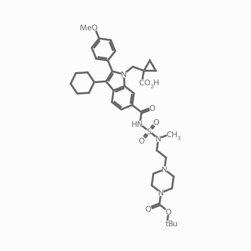 COc1ccc(-c2c(C3CCCCC3)c3ccc(C(=O)NS(=O)(=O)N(C)CCN4CCN(C(=O)OC(C)(C)C)CC4)cc3n2CC2(C(=O)O)CC2)cc1